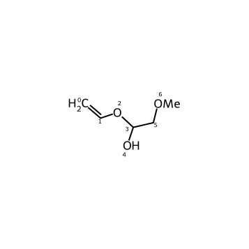 C=COC(O)COC